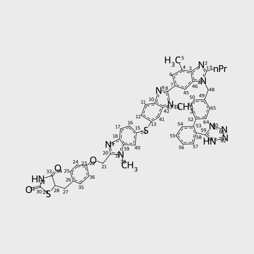 CCCc1nc2c(C)cc(-c3nc4ccc(Sc5ccc6nc(COc7ccc(CC8SC(=O)NC8=O)cc7)n(C)c6c5)cc4n3C)cc2n1Cc1ccc(-c2ccccc2-c2nnn[nH]2)cc1